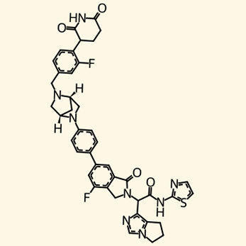 O=C1CCC(c2ccc(CN3C[C@@H]4C[C@H]3CN4c3ccc(-c4cc(F)c5c(c4)C(=O)N(C(C(=O)Nc4nccs4)c4ncn6c4CCC6)C5)cc3)cc2F)C(=O)N1